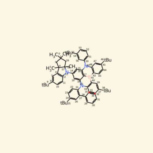 CC1(C)CC2(C)c3cc(C(C)(C)C)ccc3N(c3cc4c5c(c3)N(c3ccc(C(C)(C)C)cc3-c3ccccc3)c3ccc(C(C)(C)C)cc3B5c3ccc(C(C)(C)C)cc3N4c3cccc(C(C)(C)C)c3)C2(C)C1